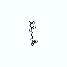 CC(=O)CC(=O)OCCCO[N+](=O)[O-]